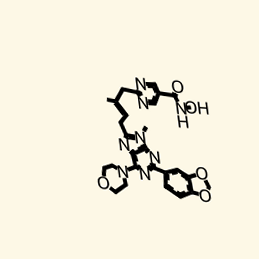 C/C(=C\Cc1nc2c(N3CCOCC3)nc(-c3ccc4c(c3)OCO4)nc2n1C)Cc1ncc(C(=O)NO)cn1